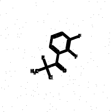 CC(F)(Cl)C(=O)c1cccc(F)c1F